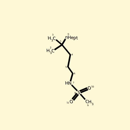 CCCCCCCC(C)(C)CCCNS(C)(=O)=O